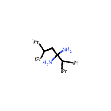 CC(C)C(CC(N)(N)C(C(C)C)C(C)C)C(C)C